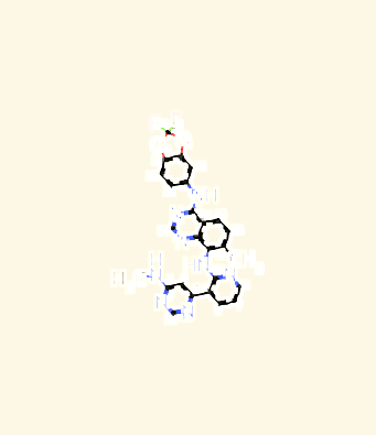 CNc1cc(-c2cccnc2Nc2c(C)ccc3c(Nc4ccc5c(c4)OC(F)(F)O5)ncnc23)ncn1